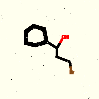 OC(CCBr)c1ccccc1